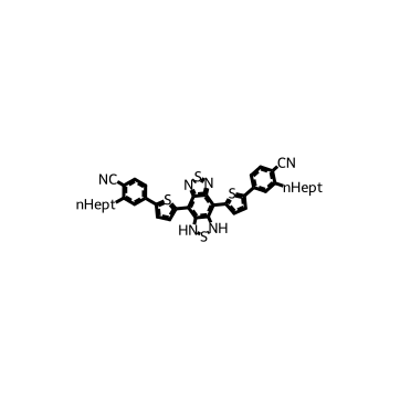 CCCCCCCc1cc(-c2ccc(-c3c4c(c(-c5ccc(-c6ccc(C#N)c(CCCCCCC)c6)s5)c5nsnc35)NSN4)s2)ccc1C#N